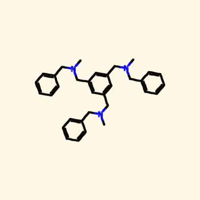 CN(Cc1ccccc1)Cc1cc(CN(C)Cc2ccccc2)cc(CN(C)Cc2ccccc2)c1